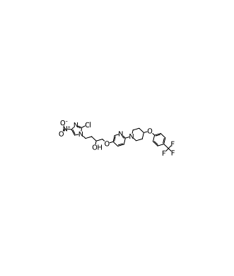 O=[N+]([O-])c1cn(CCC(O)COc2ccc(N3CCC(Oc4ccc(C(F)(F)F)cc4)CC3)nc2)c(Cl)n1